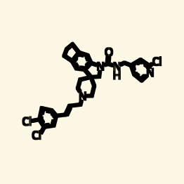 O=C(NCc1ccnc(Cl)c1)N1CC2(CCN(CC=Cc3ccc(Cl)c(Cl)c3)CC2)c2cc3c(cc21)CCC3